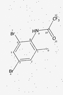 Cc1cc(Br)cc(Br)c1NC(=O)C(F)(F)F